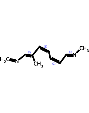 C=N/C=C(C)/C=C\C=C/C=N/C